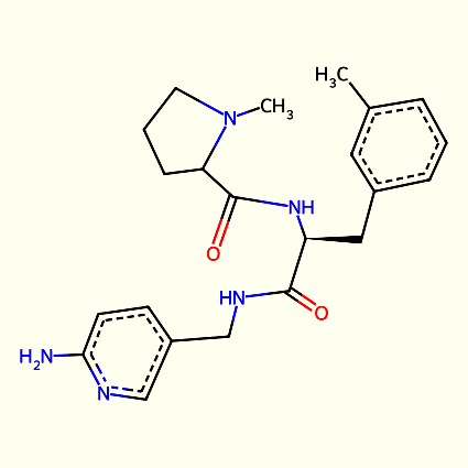 Cc1cccc(C[C@H](NC(=O)C2CCCN2C)C(=O)NCc2ccc(N)nc2)c1